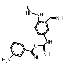 N=Cc1cc(NC(=N)OC(=N)c2cccc(N)c2)ccc1NPI